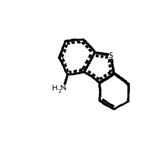 Nc1cccc2sc3c(c12)C=CCC3